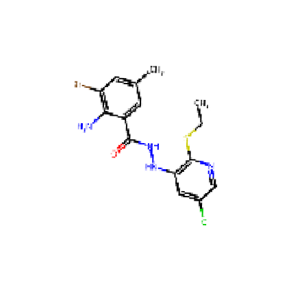 CCSc1ncc(Cl)cc1NNC(=O)c1cc(C)cc(Br)c1N